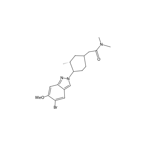 COc1cc2nn(C3CCC(CC(=O)N(C)C)C[C@H]3C)cc2cc1Br